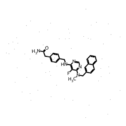 CN(Cc1ccc2ccccc2c1)c1ncnc(NCc2ccc(CC(N)=O)cc2)c1F